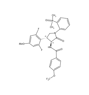 COc1cc(F)c([C@@H]2CN(c3ccccc3P(C)(C)=O)C(=O)[C@H]2NC(=O)c2ccc(OC(F)(F)F)cc2)c(F)c1